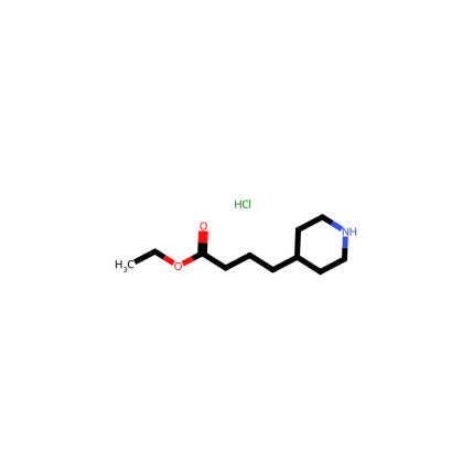 CCOC(=O)CCCC1CCNCC1.Cl